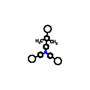 Cc1cc(C2CCCCCCC2)cc(C)c1-c1ccc(N(c2ccc(C3CCCCCCC3)cc2)c2ccc(C3CCCCCCC3)cc2)cc1